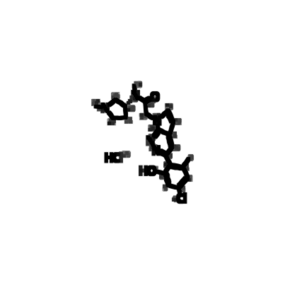 Cc1cc(Cl)cc(O)c1-c1cc2ccn(CC(=O)N(C)[C@@H]3CCN(C)C3)c2nn1.Cl